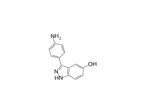 Nc1ccc(-c2n[nH]c3ccc(O)cc23)cc1